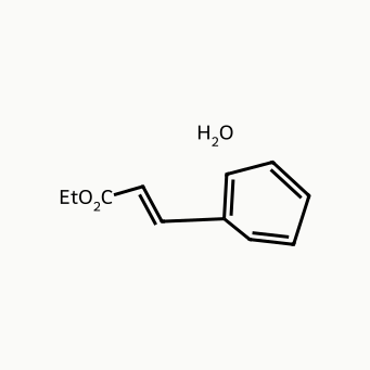 CCOC(=O)C=Cc1ccccc1.O